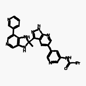 CC(C)C(=O)Nc1cncc(-c2cnc3[nH]nc(C4(C)Nc5cncc(-c6cccnc6)c5N4)c3c2)c1